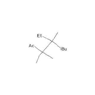 CCC(C)C(C)(CC)C(C)(C)C(C)=O